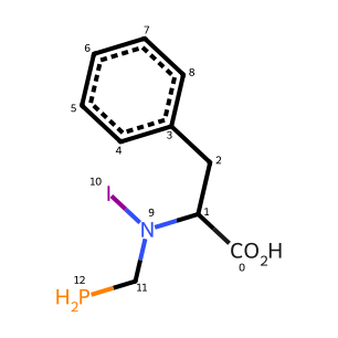 O=C(O)C(Cc1ccccc1)N(I)CP